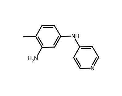 Cc1ccc(Nc2ccncc2)cc1N